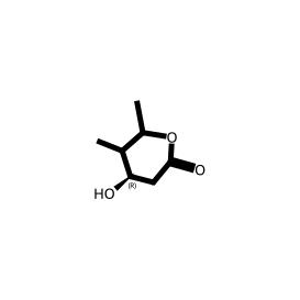 CC1OC(=O)C[C@@H](O)C1C